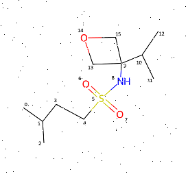 CC(C)CCS(=O)(=O)NC1(C(C)C)COC1